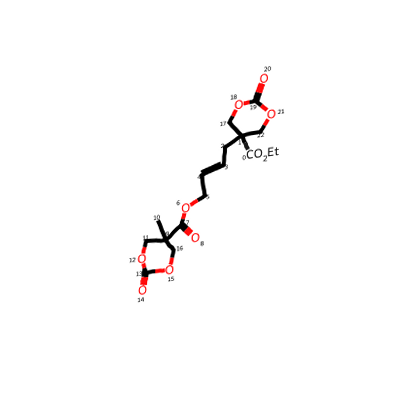 CCOC(=O)C1(CC=CCOC(=O)C2(C)COC(=O)OC2)COC(=O)OC1